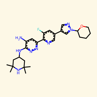 CC1(C)CC(Nc2nnc(-c3ncc(-c4cnn(C5CCCCO5)c4)cc3F)cc2N)CC(C)(C)N1